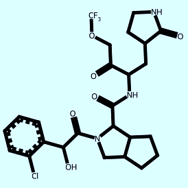 O=C1NCCC1CC(NC(=O)C1C2CCCC2CN1C(=O)C(O)c1ccccc1Cl)C(=O)COC(F)(F)F